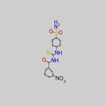 NS(=O)(=O)c1ccc(NC(=S)NC(=O)c2cccc([N+](=O)[O-])c2)cc1